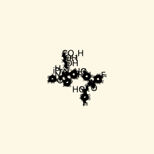 CC(C)c1c(C(=O)Nc2ccccc2)c(-c2ccccc2)c(-c2ccc(F)cc2)n1CC[C@@H](O)C[C@@H](O)CC(=O)O.O=C1[C@H](CC[C@H](O)c2ccc(F)cc2)[C@@H](c2ccc(O)cc2)N1c1ccc(F)cc1